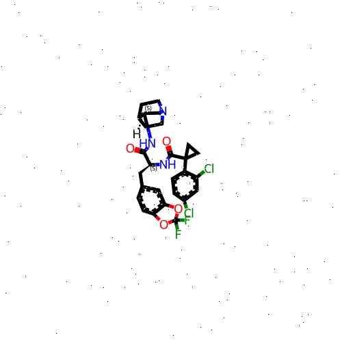 O=C(N[C@@H]1CN2CCC1CC2)[C@H](Cc1ccc2c(c1)OC(F)(F)O2)NC(=O)C1(c2ccc(Cl)cc2Cl)CC1